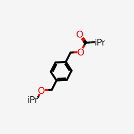 CC(C)OCc1ccc(COC(=O)C(C)C)cc1